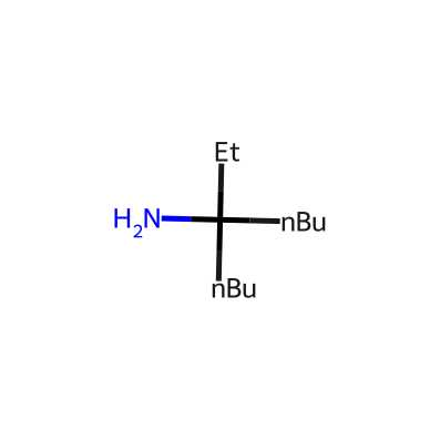 CCCCC(N)(CC)CCCC